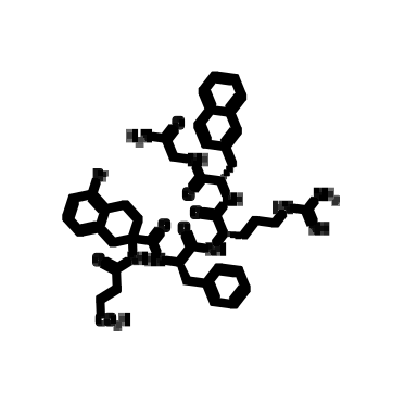 N=C(N)NCCC[C@H](NC(=O)[C@@H](Cc1ccccc1)NC(=O)C1(NC(=O)CCC(=O)O)CCc2c(Br)cccc2C1)C(=O)N[C@@H](Cc1ccc2ccccc2c1)C(=O)NCC(N)=O